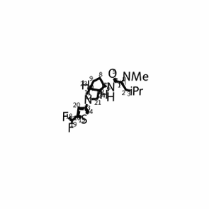 CN[C@@H](CC(C)C)C(=O)N[C@H]1CC[C@@H]2CN(c3csc(C(F)F)c3)C[C@@H]21